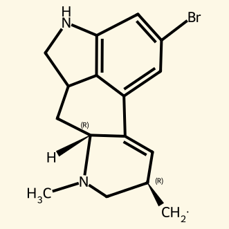 [CH2][C@@H]1C=C2c3cc(Br)cc4c3C(CN4)C[C@H]2N(C)C1